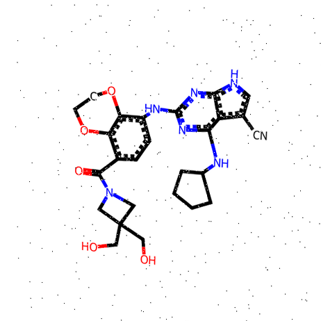 N#Cc1c[nH]c2nc(Nc3ccc(C(=O)N4CC(CO)(CO)C4)c4c3OCCO4)nc(NC3CCCC3)c12